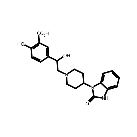 O=C(O)c1cc(C(O)CN2CCC(n3c(=O)[nH]c4ccccc43)CC2)ccc1O